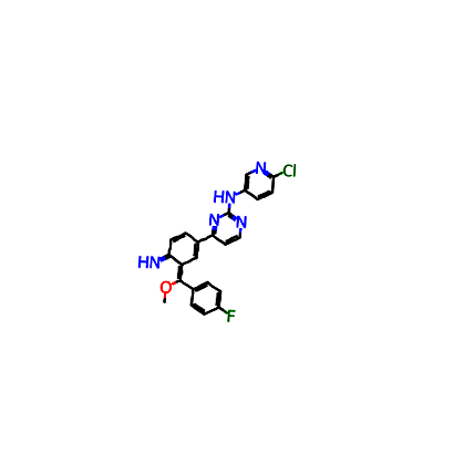 CO/C(=C1/C=C(c2ccnc(Nc3ccc(Cl)nc3)n2)C=CC1=N)c1ccc(F)cc1